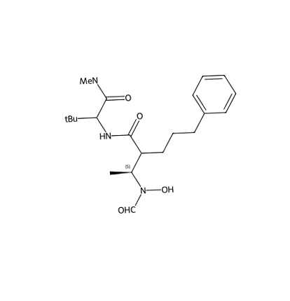 CNC(=O)C(NC(=O)C(CCCc1ccccc1)[C@H](C)N(O)C=O)C(C)(C)C